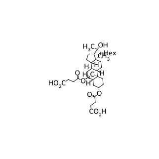 CCCCCC[C@](C)(O)[C@H]1CC[C@H]2[C@@H]3C[C@H](OC(=O)CCC(=O)O)[C@H]4C[C@@H](OC(=O)CCC(=O)O)CC[C@]4(C)[C@H]3CC[C@@]21C